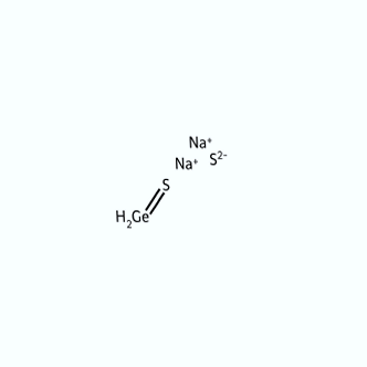 [Na+].[Na+].[S-2].[S]=[GeH2]